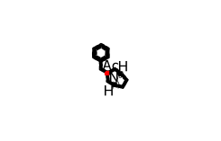 CC(=O)CN1[C@@H]2CC[C@H]1CC(Cc1ccccc1)C2